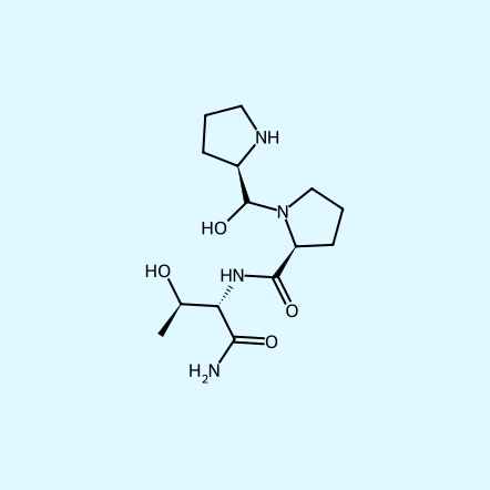 C[C@@H](O)[C@H](NC(=O)[C@@H]1CCCN1C(O)[C@H]1CCCN1)C(N)=O